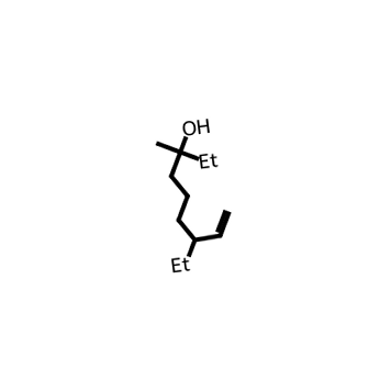 C=CC(CC)CCCC(C)(O)CC